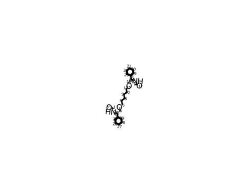 O=CN[C@H](COCCCCCCOC[C@@H](NC=O)c1ccccc1)c1ccccc1